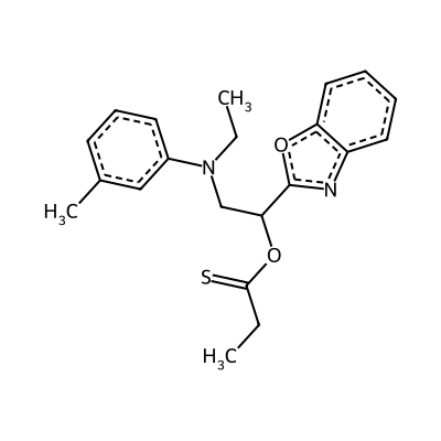 CCC(=S)OC(CN(CC)c1cccc(C)c1)c1nc2ccccc2o1